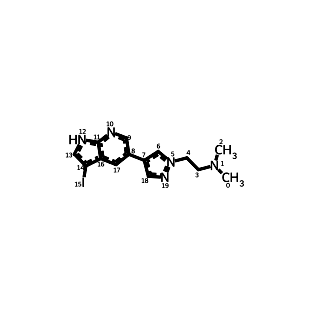 CN(C)CCn1cc(-c2cnc3[nH]cc(I)c3c2)cn1